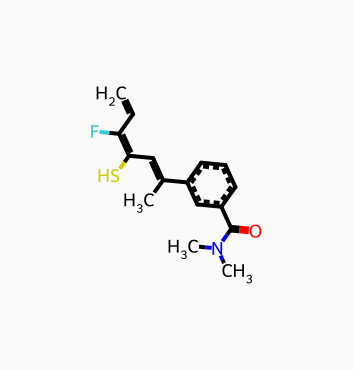 C=C/C(F)=C(S)\C=C(/C)c1cccc(C(=O)N(C)C)c1